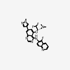 CN(C)C[C@H](Oc1cc(-c2cnn(C)c2)cc2ncnc(Nc3ccc4ncccc4c3F)c12)C(F)F